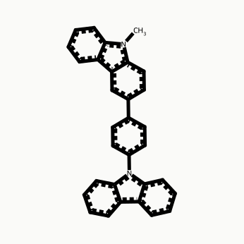 Cn1c2ccccc2c2cc(-c3ccc(-n4c5ccccc5c5ccccc54)cc3)ccc21